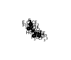 CC1=[N+](c2c(C(F)(F)F)c(C(F)(F)F)c(CF)c(C(F)(F)F)c2C(F)(F)F)c2ccccc2/C1=C1/C(=O)C(c2c(C)n(-c3c(C(F)(F)F)c(C(F)(F)F)c(C(F)(F)F)c(C(F)(F)F)c3C(F)(F)F)c3ccccc23)=C1O